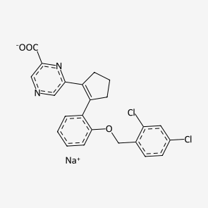 O=C([O-])c1cncc(C2=C(c3ccccc3OCc3ccc(Cl)cc3Cl)CCC2)n1.[Na+]